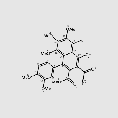 CCC(=O)c1c(C(=O)OC)c(-c2ccc(OC)c(OC)c2)c2c(OC)c(OC)c(OC)c(C)c2c1O